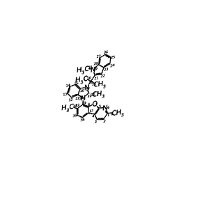 Cc1ccc2c(n1)oc1c(N3c4ccccc4N(C(C)(C)c4cc5ccccc5n4C)[C@@H]3C)c(C)ccc12